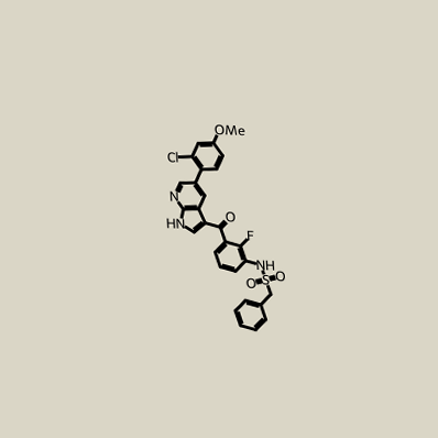 COc1ccc(-c2cnc3[nH]cc(C(=O)c4cccc(NS(=O)(=O)Cc5ccccc5)c4F)c3c2)c(Cl)c1